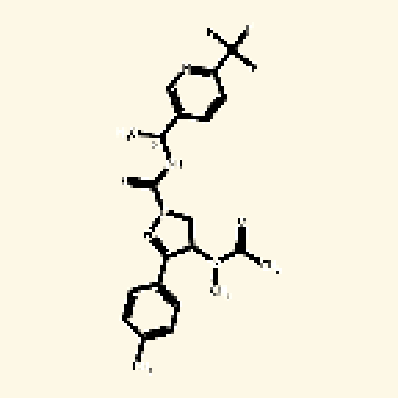 CC(=O)N(C)C1CN(C(=O)N[C@@H](C)c2ccc(C(F)(F)F)nc2)N=C1c1ccc(C)cc1